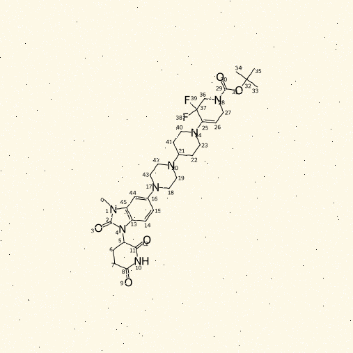 Cn1c(=O)n(C2CCC(=O)NC2=O)c2ccc(N3CCN(C4CCN(C5=CCN(C(=O)OC(C)(C)C)CC5(F)F)CC4)CC3)cc21